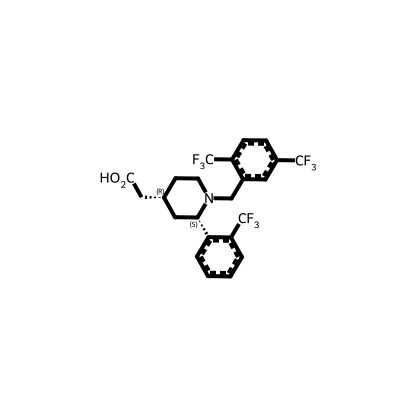 O=C(O)C[C@@H]1CCN(Cc2cc(C(F)(F)F)ccc2C(F)(F)F)[C@H](c2ccccc2C(F)(F)F)C1